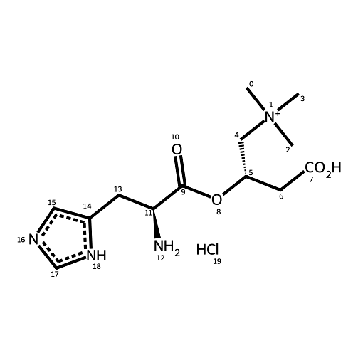 C[N+](C)(C)C[C@H](CC(=O)O)OC(=O)[C@@H](N)Cc1cnc[nH]1.Cl